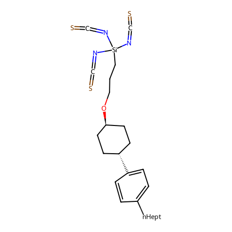 CCCCCCCc1ccc([C@H]2CC[C@H](OCCC[Si](N=C=S)(N=C=S)N=C=S)CC2)cc1